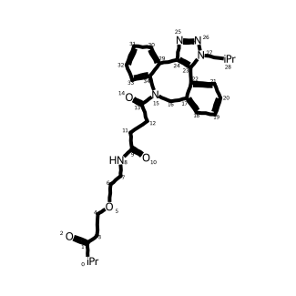 CC(C)C(=O)CCOCCNC(=O)CCC(=O)N1Cc2ccccc2-c2c(nnn2C(C)C)-c2ccccc21